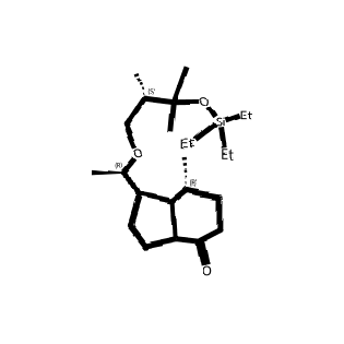 CC[Si](CC)(CC)OC(C)(C)[C@@H](C)CO[C@H](C)C1CCC2C(=O)CC[C@@H](C)C21